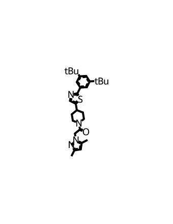 Cc1cc(C)n(CC(=O)N2CCC(c3cnc(-c4cc(C(C)(C)C)cc(C(C)(C)C)c4)s3)CC2)n1